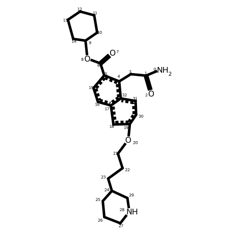 NC(=O)Cc1c(C(=O)OC2CCCCC2)ccc2cc(OCCCC3CCCNC3)ccc12